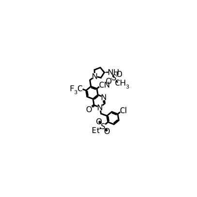 CCS(=O)(=O)c1ccc(Cl)cc1Cn1cnc2c(C#N)c(CN3CC[C@@H](NS(C)(=O)=O)C3)c(C(F)(F)F)cc2c1=O